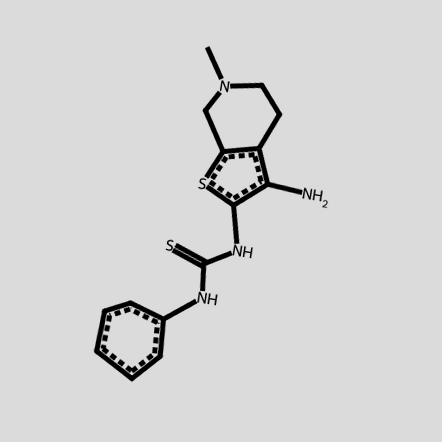 CN1CCc2c(sc(NC(=S)Nc3ccccc3)c2N)C1